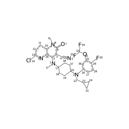 CN(c1c(C#N)c(=O)n(C)c2ccc(Cl)nc12)C1CCC(N(CC2CC2)c2ccc(F)c(OC(F)F)c2)CC1